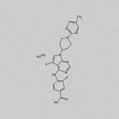 Cc1cnc(N2CCC(n3cc(F)c4c(Nc5ccc(C(=O)O)cc5F)ncnc43)CC2)nc1.Cl.Cl